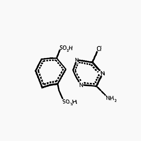 Nc1ncnc(Cl)n1.O=S(=O)(O)c1cccc(S(=O)(=O)O)c1